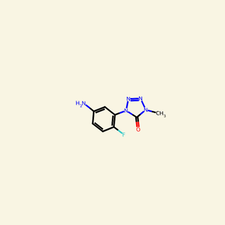 Cn1nnn(-c2cc(N)ccc2F)c1=O